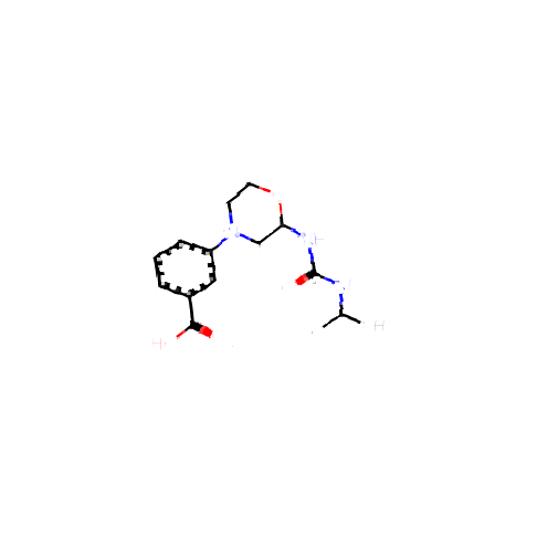 CC(C)NC(=O)NC1CN(c2cccc(C(=O)O)c2)CCO1